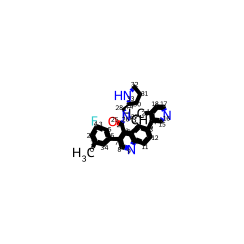 Cc1cc(F)cc(-c2cnc3ccc(-c4cnccc4C)cc3c2C(=O)N(C)C[C@@H]2CCCN2)c1